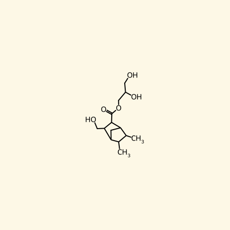 CC1C(C)C2CC1C(CO)C2C(=O)OCC(O)CO